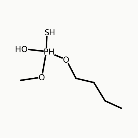 CCCCO[PH](O)(S)OC